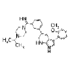 COc1ccccc1-c1c[nH]c2c1C=C(C1=CC=CC(C(=N)N3CCN(C(C)C)CC3)C1)CN2